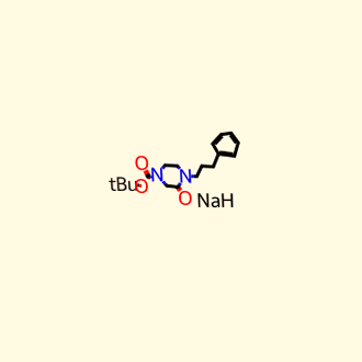 CC(C)(C)OC(=O)N1CCN(CCCc2ccccc2)C(=O)C1.[NaH]